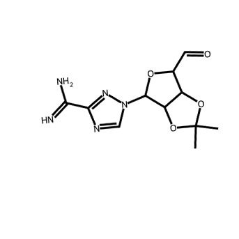 CC1(C)OC2C(C=O)OC(n3cnc(C(=N)N)n3)C2O1